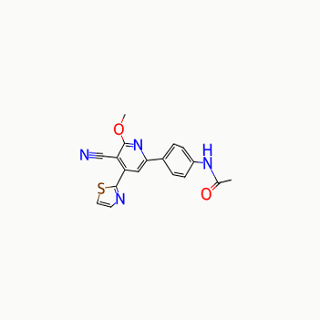 COc1nc(-c2ccc(NC(C)=O)cc2)cc(-c2nccs2)c1C#N